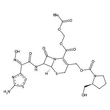 CC(C)(C)C(=O)OCOC(=O)C1=C(COC(=O)N2CCC[C@H]2CO)CS[C@H]2C(NC(=O)/C(=N\O)c3csc(N)n3)C(=O)N12